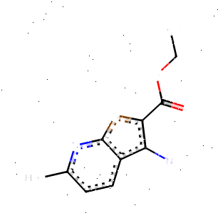 CCOC(=O)c1sc2nc(C)ccc2c1N